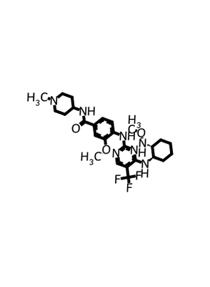 CON[C@@H]1CCCC[C@H]1Nc1nc(Nc2ccc(C(=O)NC3CCN(C)CC3)cc2OC)ncc1C(F)(F)F